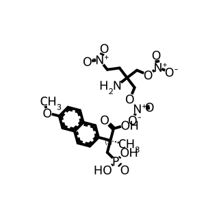 COc1ccc2cc([C@](C)(CP(=O)(O)O)C(=O)O)ccc2c1.NC(CC[N+](=O)[O-])(CO[N+](=O)[O-])CO[N+](=O)[O-]